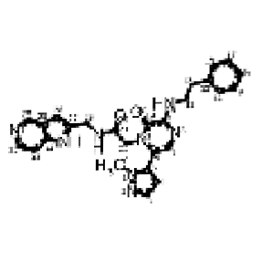 Cn1nccc1-c1cnc(NCCc2ccccc2)c(=O)n1CC(=O)NCc1cc2cnccc2[nH]1